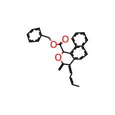 C=C1OC(C(=O)OCc2ccccc2)c2c(ccc3ccccc23)/C1=C/C=C\C